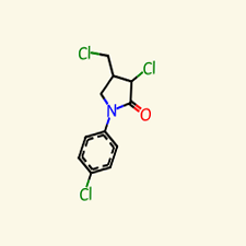 O=C1C(Cl)C(CCl)CN1c1ccc(Cl)cc1